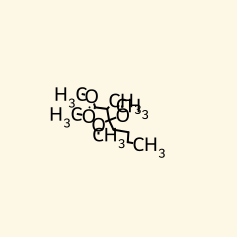 CCCCC(OC)(OC)C(C)[C](OC)OC